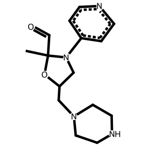 CC1(C=O)OC(CN2CCNCC2)CN1c1ccncc1